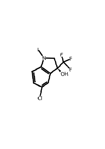 O[C@]1(C(F)(F)F)CN(I)c2ccc(Cl)cc21